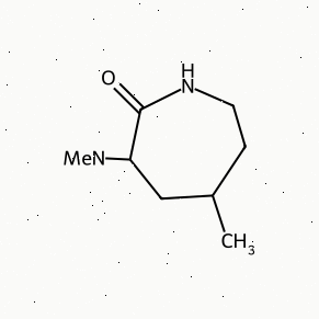 CNC1CC(C)CCNC1=O